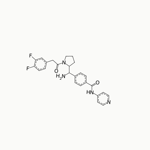 NC(c1ccc(C(=O)Nc2ccncc2)cc1)C1CCCN1C(=O)Cc1ccc(F)c(F)c1